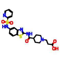 O=C(O)CCN1CCC(C(=O)Nc2nc3cc(NS(=O)(=O)c4ccccn4)ccc3s2)CC1